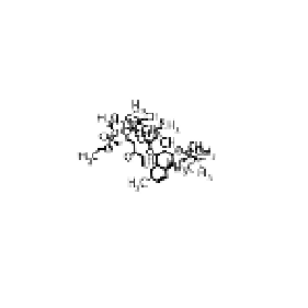 CCOP(=O)(C[C@@H](CC(=O)CC[C@@H]1[C@@H]2C(=C[C@@H](O[Si](C)(C)C(C)(C)C)C[C@@H]2OC(=O)[C@@H](C)CC)C=C[C@@H]1C)O[Si](C)(C)C(C)(C)C)OCC